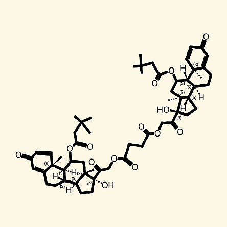 CC(C)(C)CC(=O)OC1C[C@@]2(C)[C@@H](CC[C@]2(O)C(=O)COC(=O)CCC(=O)OCC(=O)[C@@]2(O)CC[C@H]3[C@@H]4CCC5=CC(=O)C=C[C@]5(C)[C@H]4C(OC(=O)CC(C)(C)C)C[C@@]32C)[C@@H]2CCC3=CC(=O)C=C[C@]3(C)[C@@H]12